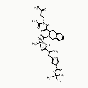 CC(C)(C)OC(=O)n1cnc(CC(N)C(=O)N[C@H](C(=O)N2Cc3ccccc3CC2C(=O)N[C@@H](CCC(N)=O)C(=O)O)C(C)(C)C)c1